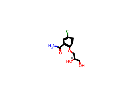 NC(=O)c1cc(Cl)ccc1OC[C@H](O)CO